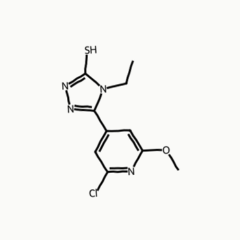 CCn1c(S)nnc1-c1cc(Cl)nc(OC)c1